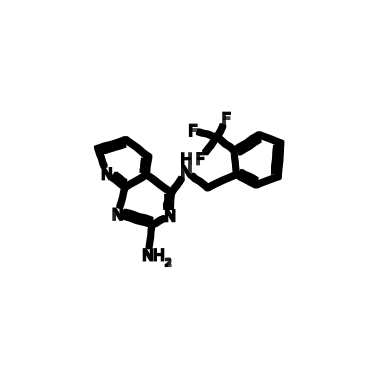 Nc1nc(NCc2ccccc2C(F)(F)F)c2cccnc2n1